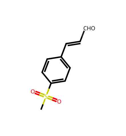 CS(=O)(=O)c1ccc(C=CC=O)cc1